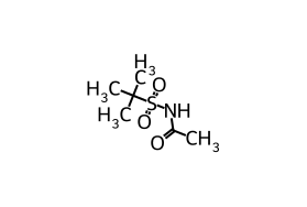 CC(=O)NS(=O)(=O)C(C)(C)C